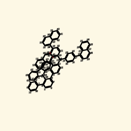 c1ccc(-c2cccc(-c3ccc(N(c4ccc(-c5cccc6ccccc56)cc4)c4ccc(-c5cccc6ccccc56)cc4)c(-c4cccc5ccccc45)c3)c2-n2c3ccccc3c3ccccc32)cc1